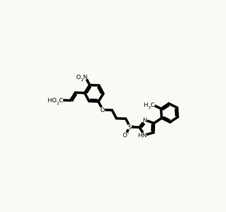 Cc1ccccc1-c1c[nH]c([S+]([O-])CCCOc2ccc([N+](=O)[O-])c(C=CC(=O)O)c2)n1